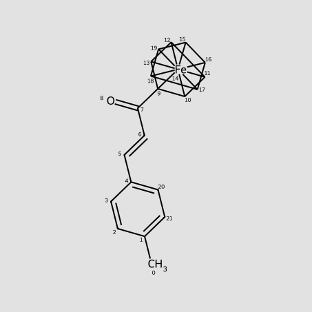 Cc1ccc(C=CC(=O)[C]23[CH]4[CH]5[CH]6[CH]2[Fe]56432789[CH]3[CH]2[CH]7[CH]8[CH]39)cc1